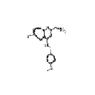 COc1ccc(CNc2nc(CN)nc3ccc(F)cc23)cc1